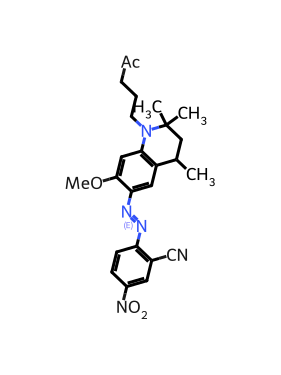 COc1cc2c(cc1/N=N/c1ccc([N+](=O)[O-])cc1C#N)C(C)CC(C)(C)N2CCCC(C)=O